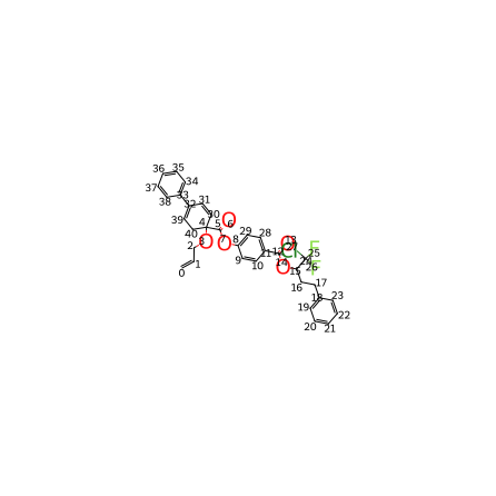 C=CCOC1(C(=O)Oc2ccc(C(=O)OC(CCc3ccccc3)C(F)(F)Cl)cc2)C=CC(c2ccccc2)=CC1